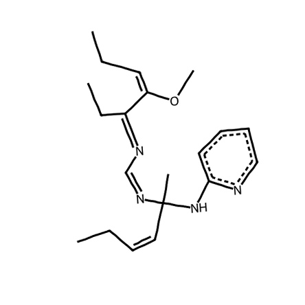 CC/C=C\C(C)(\N=C/N=C(CC)/C(=C\CC)OC)Nc1ccccn1